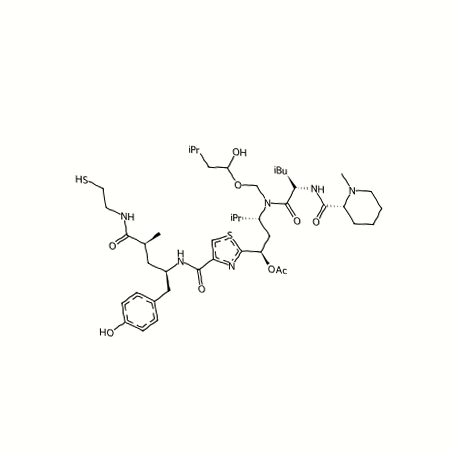 CC[C@H](C)[C@H](NC(=O)[C@H]1CCCCN1C)C(=O)N(COC(O)CC(C)C)[C@H](C[C@@H](OC(C)=O)c1nc(C(=O)N[C@@H](Cc2ccc(O)cc2)C[C@H](C)C(=O)NCCS)cs1)C(C)C